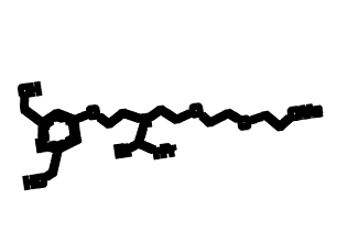 CCCC(CC)N(CCOCCOCCOC)CCOc1cc(CO)nc(CO)c1